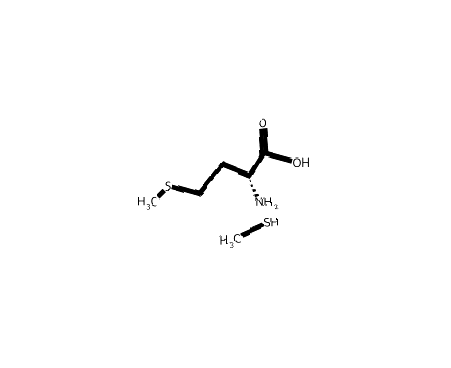 CS.CSCC[C@@H](N)C(=O)O